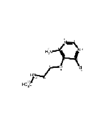 Nc1ncnc(Cl)c1OCCNC(=O)O